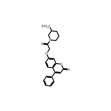 CCOC(=O)C1CCCN(C(=O)COc2ccc3c(-c4ccccc4)cc(=O)oc3c2)C1